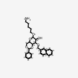 NCCCCCOC1OC2COC(c3ccccc3)OC2C(OCc2ccc3ccccc3c2)C1O